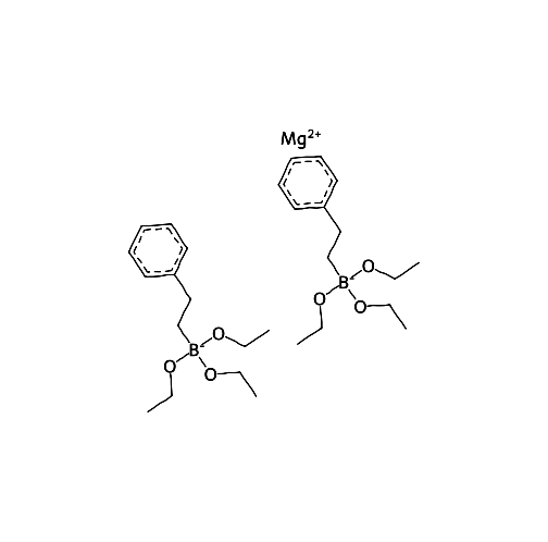 CCO[B-](CCc1ccccc1)(OCC)OCC.CCO[B-](CCc1ccccc1)(OCC)OCC.[Mg+2]